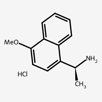 COc1ccc([C@H](C)N)c2ccccc12.Cl